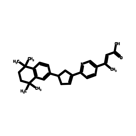 CC(=CC(=O)O)c1ccc(C2=CCC(c3ccc4c(c3)C(C)(C)CCC4(C)C)C2)nc1